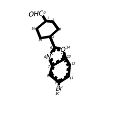 O=CC1CCC(c2nc3cc(Br)ccc3o2)CC1